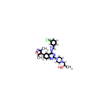 Cc1noc(C)c1-c1ccc2nc(N3CCN(C[C@@H](C)O)CC3)nc(NCc3cccc(Cl)c3)c2c1